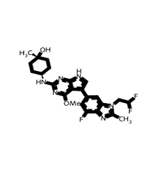 COc1nc(N[C@H]2CC[C@@](C)(O)CC2)nc2[nH]cc(-c3cc(F)c4nc(C)n(CC(F)F)c4c3)c12